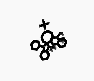 CN(/C1=C(\[PH+](C)N)CCCCCC1(N(C)C1CCCCC1)N(C)C1CCCCC1)C1CCCCC1.F[B-](F)(F)F